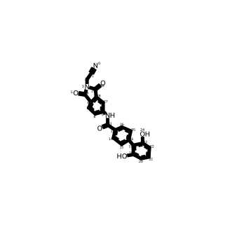 N#CCN1C(=O)c2ccc(NC(=O)c3ccc(-c4c(O)cccc4O)cc3)cc2C1=O